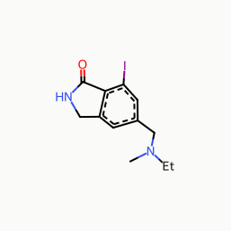 CCN(C)Cc1cc(I)c2c(c1)CNC2=O